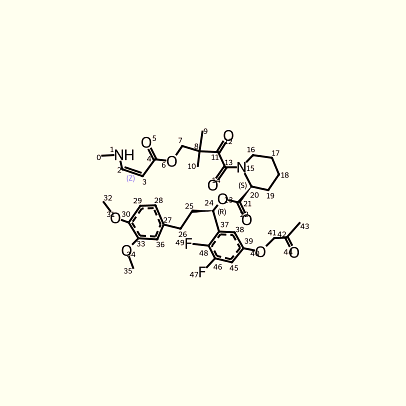 CN/C=C\C(=O)OCC(C)(C)C(=O)C(=O)N1CCCC[C@H]1C(=O)O[C@H](CCc1ccc(OC)c(OC)c1)c1cc(OCC(C)=O)cc(F)c1F